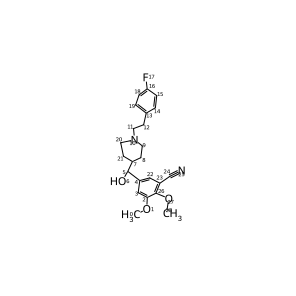 COc1cc(C(O)C2CCN(CCc3ccc(F)cc3)CC2)cc(C#N)c1OC